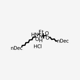 CCCCCCCCCCCCCCCCCC(=O)NC(CC)NC(C)(C)C(=O)OCCCCCCCCCCCCCC.Cl